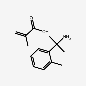 C=C(C)C(=O)O.Cc1ccccc1C(C)(C)N